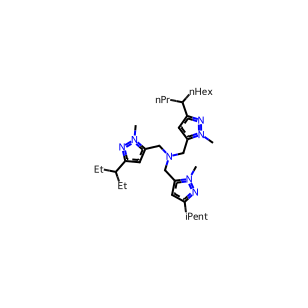 CCCCCCC(CCC)c1cc(CN(Cc2cc(C(C)CCC)nn2C)Cc2cc(C(CC)CC)nn2C)n(C)n1